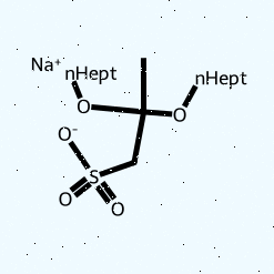 CCCCCCCOC(C)(CS(=O)(=O)[O-])OCCCCCCC.[Na+]